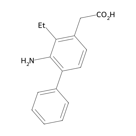 CCc1c(CC(=O)O)ccc(-c2ccccc2)c1N